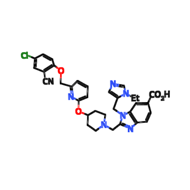 CCn1cncc1Cn1c(CN2CCC(Oc3cccc(COc4ccc(Cl)cc4C#N)n3)CC2)nc2ccc(C(=O)O)cc21